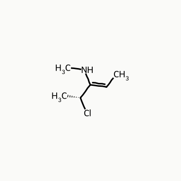 C/C=C(\NC)[C@@H](C)Cl